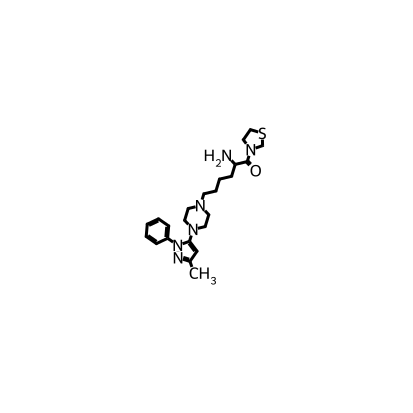 Cc1cc(N2CCN(CCCCC(N)C(=O)N3CCSC3)CC2)n(-c2ccccc2)n1